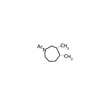 CC(=O)N1CCC[C@@H](C)[C@@H](C)C1